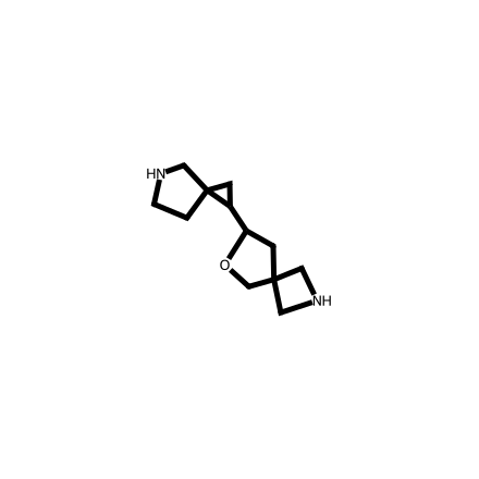 C1CC2(CN1)CC2C1CC2(CNC2)CO1